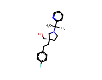 CC(C)(c1ccccn1)N1CC[C@](CO)(CCc2ccc(F)cc2)C1